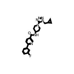 O=C(NC1CCN(c2nnnn2CC2CC2)CC1)c1ccc(-c2cccc(F)c2)nc1